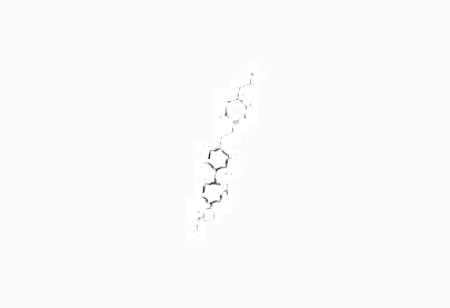 CCCC1CCC(CCc2ccc(-c3ccc(OCC)cn3)cc2)CC1